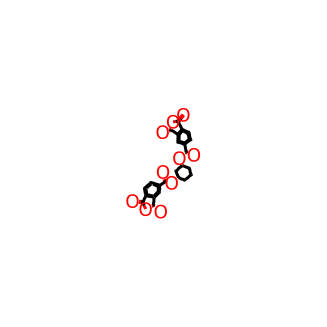 O=C(OC1CCCC(OC(=O)c2ccc3c(c2)C(=O)OC3=O)C1)c1ccc2c(c1)C(=O)OC2=O